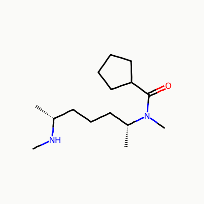 CN[C@H](C)CCC[C@@H](C)N(C)C(=O)C1CCCC1